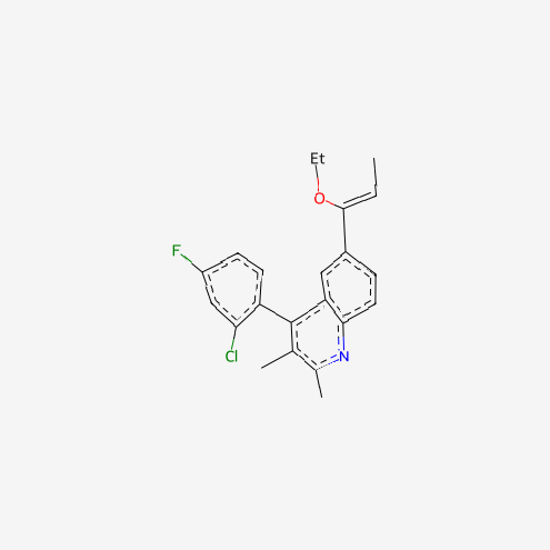 CC=C(OCC)c1ccc2nc(C)c(C)c(-c3ccc(F)cc3Cl)c2c1